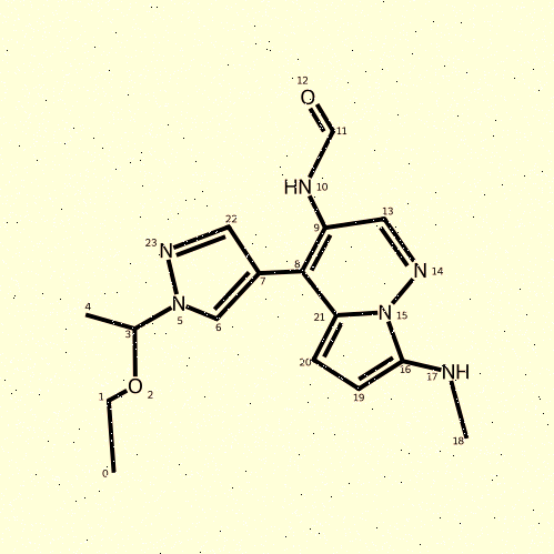 CCOC(C)n1cc(-c2c(NC=O)cnn3c(NC)ccc23)cn1